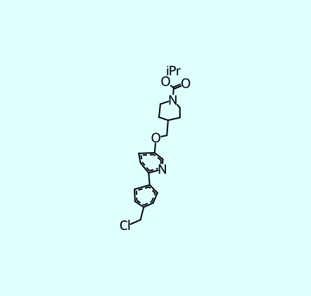 CC(C)OC(=O)N1CCC(COc2ccc(-c3ccc(CCl)cc3)nc2)CC1